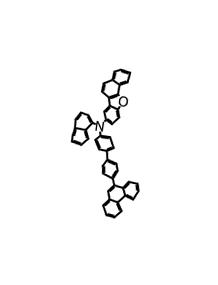 c1ccc2c(N(c3ccc(-c4ccc(-c5cc6ccccc6c6ccccc56)cc4)cc3)c3ccc4oc5c6ccccc6ccc5c4c3)cccc2c1